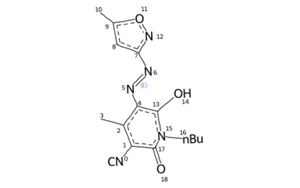 [C-]#[N+]c1c(C)c(/N=N/c2cc(C)on2)c(O)n(CCCC)c1=O